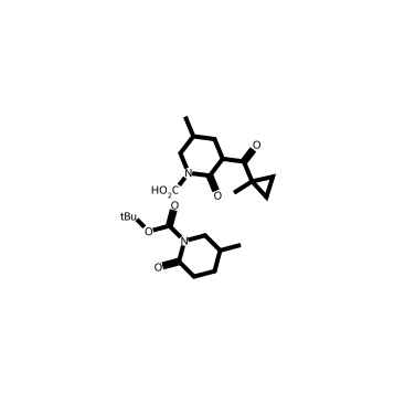 CC1CC(C(=O)C2(C)CC2)C(=O)N(C(=O)O)C1.CC1CCC(=O)N(C(=O)OC(C)(C)C)C1